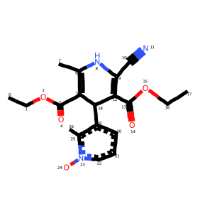 CCOC(=O)C1=C(C)NC(C#N)=C(C(=O)OCC)C1c1ccc[n+]([O-])c1C